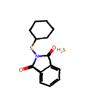 O=C1c2ccccc2C(=O)N1SC1CCCCC1.S